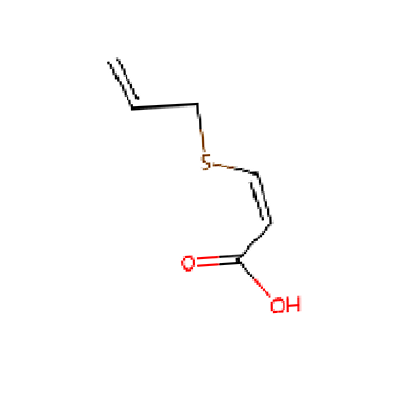 C=CCS/C=C\C(=O)O